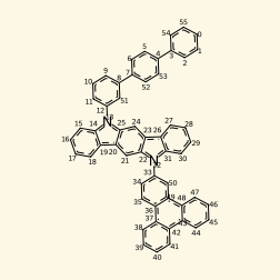 c1ccc(-c2ccc(-c3cccc(-n4c5ccccc5c5cc6c(cc54)c4ccccc4n6-c4ccc5c6ccccc6c6ccccc6c5c4)c3)cc2)cc1